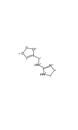 C1=C(CNC2=NCCN2)OCO1